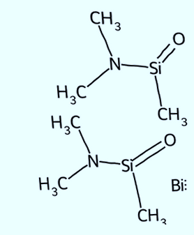 CN(C)[Si](C)=O.CN(C)[Si](C)=O.[Bi]